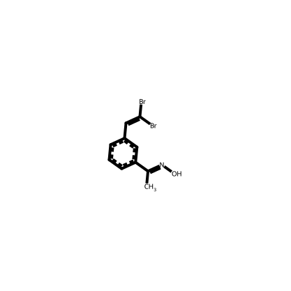 CC(=NO)c1cccc(C=C(Br)Br)c1